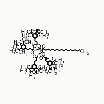 CCCCCCCCCCCCCCCCCC(=O)N(C(COC(=O)CCc1cc(C(C)(C)C)c(O)c(C(C)(C)C)c1)OC(=O)CCc1cc(C(C)(C)C)c(O)c(C(C)(C)C)c1)C(COC(=O)CCc1cc(C(C)(C)C)c(O)c(C(C)(C)C)c1)OC(=O)CCc1cc(C(C)(C)C)c(O)c(C(C)(C)C)c1